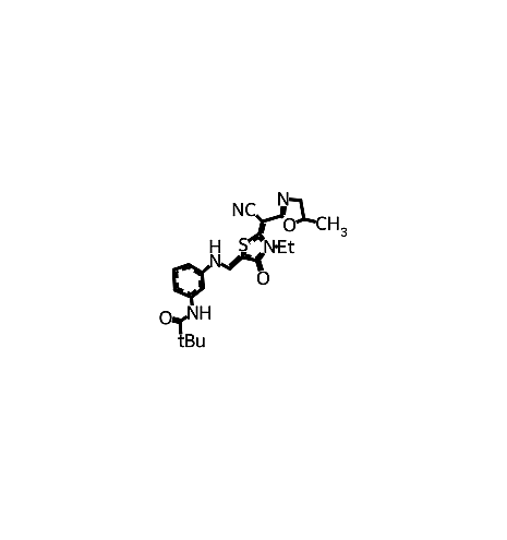 CCn1c(=C(C#N)C2=NCC(C)O2)sc(=CNc2cccc(NC(=O)C(C)(C)C)c2)c1=O